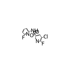 O=S(=O)(Nc1cccc(F)n1)c1cnc(F)c(Cl)c1